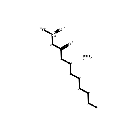 CCCCCCCCC(=O)C[N+](=O)[O-].[BaH2]